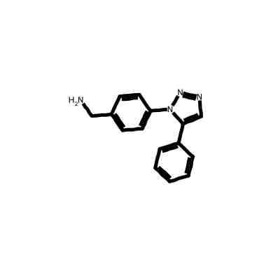 NCc1ccc(-n2nncc2-c2ccccc2)cc1